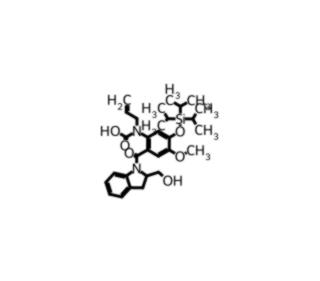 C=CCN(C(=O)O)c1cc(O[Si](C(C)C)(C(C)C)C(C)C)c(OC)cc1C(=O)N1c2ccccc2CC1CO